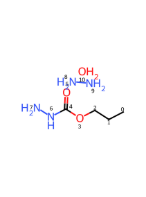 CCCOC(=O)NN.NN.O